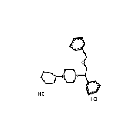 Cl.Cl.c1ccc(COCC(c2ccccc2)N2CCN(C3CCCCC3)CC2)cc1